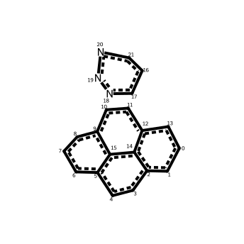 c1cc2ccc3cccc4ccc(c1)c2c34.c1cnnnc1